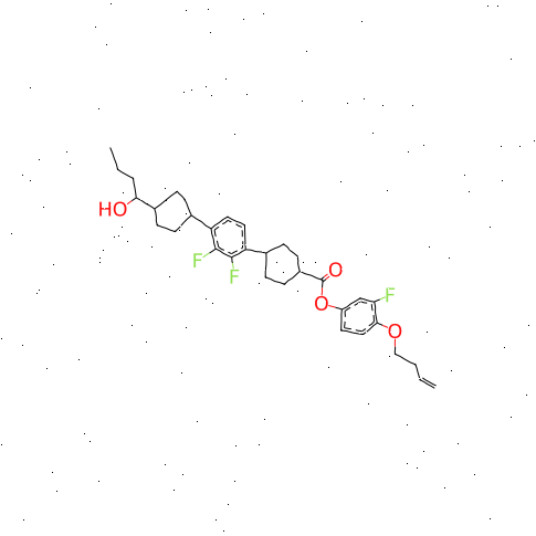 C=CCCOc1ccc(OC(=O)C2CCC(c3ccc(C4CCC(C(O)CCC)CC4)c(F)c3F)CC2)cc1F